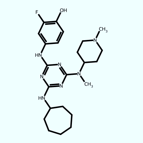 CN1CCC(N(C)c2nc(Nc3ccc(O)c(F)c3)nc(NC3CCCCCC3)n2)CC1